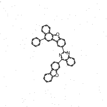 c1ccc(-c2cc3c4cc(-c5nc(-c6ccc7c(c6)oc6ccccc67)c6ccccc6n5)ccc4oc3c3ccccc23)cc1